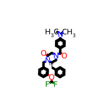 CN(C)c1ccc(C(=O)N2CC(=O)N(Cc3cccc(OC(F)F)c3)[C@@H](Cc3ccccc3)C2)cc1